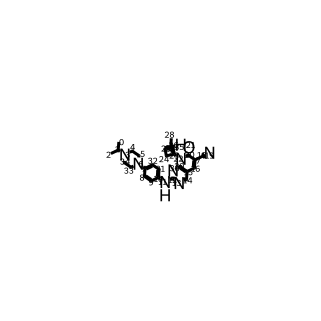 CC(C)N1CCN(c2ccc(Nc3ncc4cc(C#N)c(=O)n(C56CC(C5)[C@H]6C)c4n3)cc2)CC1